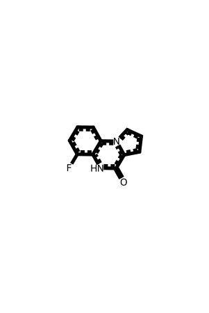 O=c1[nH]c2c(F)cccc2n2cccc12